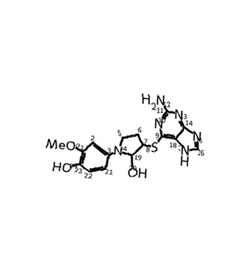 COc1cc(N2CCC(Sc3nc(N)nc4nc[nH]c34)C2O)ccc1O